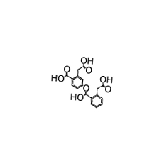 O=C(O)Cc1ccccc1C(=O)O.O=C(O)Cc1ccccc1C(=O)O